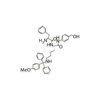 COc1ccc(C(NCCCC[C@H](NC(=O)[C@@H](N)Cc2ccccc2)C(=O)Nc2ccc(CO)cc2)(c2ccccc2)c2ccccc2)cc1